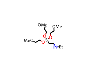 CCNCC[Si](OCCOC)(OCCOC)OCCOC